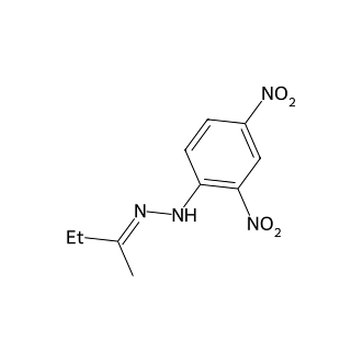 CCC(C)=NNc1ccc([N+](=O)[O-])cc1[N+](=O)[O-]